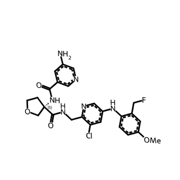 COc1ccc(Nc2cnc(CNC(=O)[C@]3(NC(=O)c4cncc(N)c4)CCOC3)c(Cl)c2)c(CF)c1